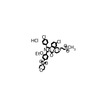 CCOc1cc(S(=O)(=O)N2CCOCC2)ccc1C1=N[C@@H](c2ccc(Cl)cc2)[C@@H](c2ccc(Cl)cc2)N1C(=O)N1CCN(CCS(C)(=O)=O)CC1.Cl